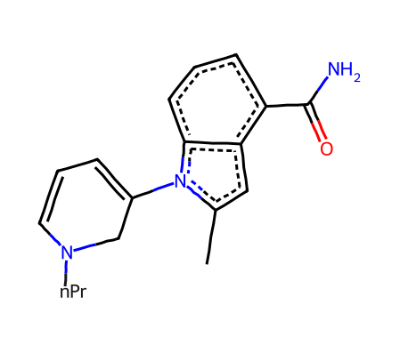 CCCN1C=CC=C(n2c(C)cc3c(C(N)=O)cccc32)C1